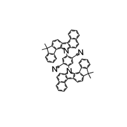 CC1(C)c2ccccc2-c2c1ccc1c3c4ccccc4ccc3n(-c3cc(C#N)c(-n4c5ccc6ccccc6c5c5ccc6c(c54)-c4ccccc4C6(C)C)cc3C#N)c21